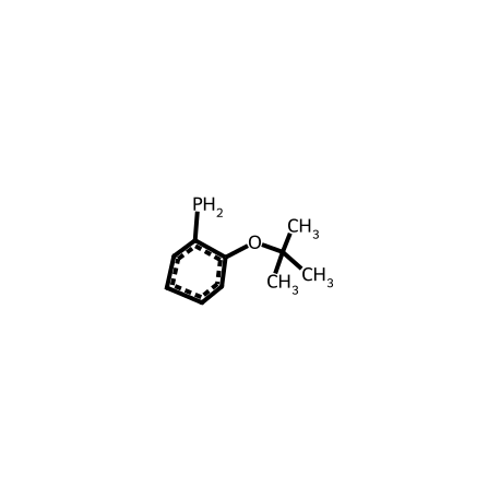 CC(C)(C)Oc1ccccc1P